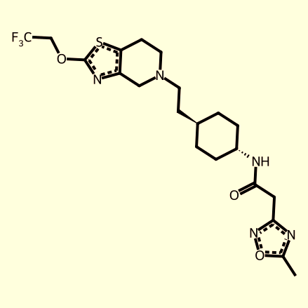 Cc1nc(CC(=O)N[C@H]2CC[C@H](CCN3CCc4sc(OCC(F)(F)F)nc4C3)CC2)no1